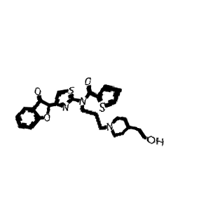 O=C1c2ccccc2OC1c1csc(N(CCCN2CCC(CCO)CC2)C(=O)c2cccs2)n1